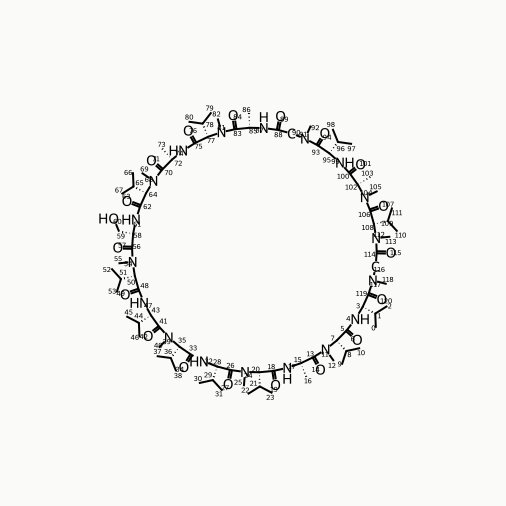 CC(C)[C@@H]1NC(=O)[C@H](C(C)C)N(C)C(=O)[C@H](C)NC(=O)[C@H](C(C)C)N(C)C(=O)[C@H](C(C)C)NC(=O)[C@H](C(C)C)N(C)C(=O)[C@H](C(C)C)NC(=O)[C@H](C(C)C)N(C)C(=O)[C@H](CO)NC(=O)[C@H](C(C)C)N(C)C(=O)[C@H](C)NC(=O)[C@H](C(C)C)N(C)C(=O)[C@H](C)NC(=O)CN(C)C(=O)[C@H](C(C)C)NC(=O)[C@H](C)N(C)C(=O)[C@H](C(C)C)N(C)C(=O)CN(C)C1=O